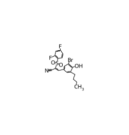 CCCCc1cc(C=C(C#N)S(=O)(=O)c2ccc(F)cc2F)cc(Br)c1O